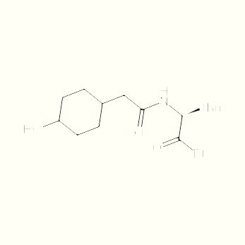 CCC(=O)[C@@H](NC(=O)CC1CCC(O)CC1)C(C)(C)C